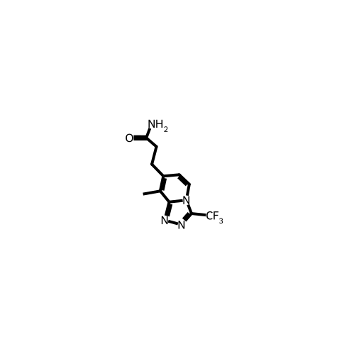 Cc1c(CCC(N)=O)ccn2c(C(F)(F)F)nnc12